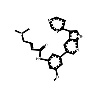 COc1cc(NC(=O)C=CCN(C)C)cc(-c2cnc3[nH]cc(-c4ccncn4)c3c2)c1